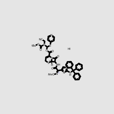 CO/N=C(\C(=O)NC1C(=O)N2C(C(=O)OC(Sc3ccncc3)N(CC#N)C(=O)OC(C)(C)C)=CCS[C@@H]12)c1csc(NC(c2ccccc2)(c2ccccc2)c2ccccc2)n1.I